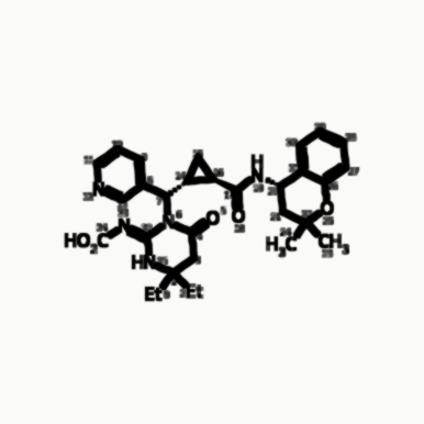 CCC1(CC)CC(=O)N(C(c2cccnc2)[C@@H]2C[C@H]2C(=O)N[C@H]2CC(C)(C)Oc3ccccc32)C(=NC(=O)O)N1